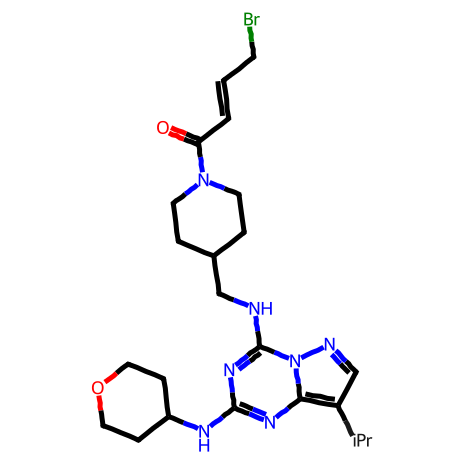 CC(C)c1cnn2c(NCC3CCN(C(=O)C=CCBr)CC3)nc(NC3CCOCC3)nc12